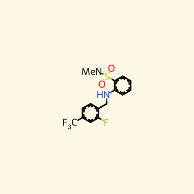 CNS(=O)(=O)c1ccccc1NCc1ccc(C(F)(F)F)cc1F